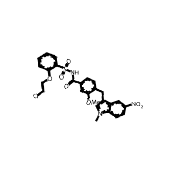 COc1cc(C(=O)NS(=O)(=O)c2ccccc2OCCCl)ccc1Cc1cn(C)c2ccc([N+](=O)[O-])cc12